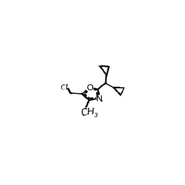 Cc1nc(C(C2CC2)C2CC2)oc1CCl